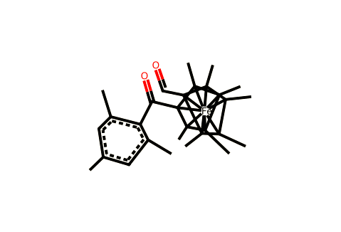 Cc1cc(C)c(C(=O)[C]23[C]4(C)[C]5(C)[C]6(C)[C]2(C)[Fe]56432789[C]3(C)[C]2(C)[C]7(C)[C]8(C=O)[C]39C)c(C)c1